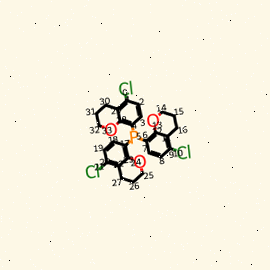 Clc1ccc(P(c2ccc(Cl)c3c2OCCC3)c2ccc(Cl)c3c2OCCC3)c2c1CCCO2